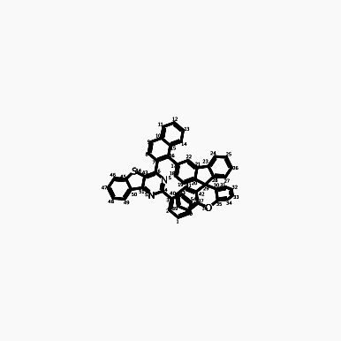 c1ccc(-c2nc(-c3ccc4ccccc4c3-c3ccc4c(c3)-c3ccccc3C43c4ccccc4Oc4ccccc43)c3sc4ccccc4c3n2)cc1